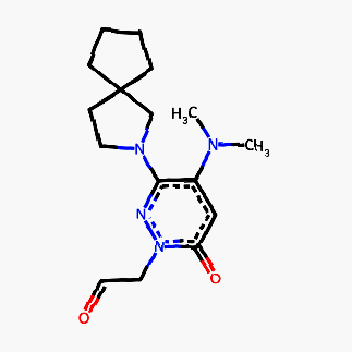 CN(C)c1cc(=O)n(CC=O)nc1N1CCC2(CCCC2)C1